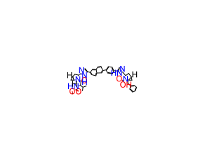 COC(=O)NC(C(=O)N1[C@@H]2C[C@@H]2C[C@H]1c1ncc(-c2ccc3cc(-c4ccc(-c5cnc(C6C[C@@H]7C[C@]7(Cc7ccccc7)N6C(=O)O)[nH]5)cc4)ccc3c2)[nH]1)C(C)C